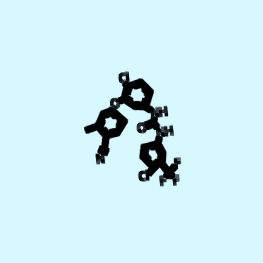 Cc1cc(Oc2cc(NC(=O)Nc3ccc(Cl)c(C(F)(F)F)c3)ccc2Cl)ccc1C#N